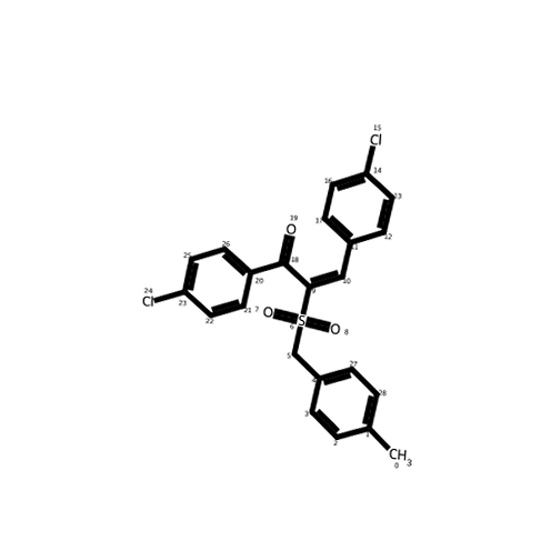 Cc1ccc(CS(=O)(=O)C(=Cc2ccc(Cl)cc2)C(=O)c2ccc(Cl)cc2)cc1